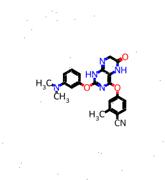 Cc1cc(OC2=C3NC(=O)CN=C3NC(Oc3cccc(N(C)C)c3)=N2)ccc1C#N